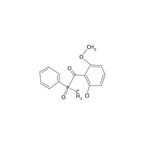 COc1cccc(Cl)c1C(=O)P(C)(=O)c1ccccc1